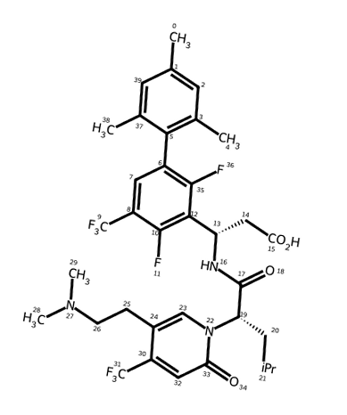 Cc1cc(C)c(-c2cc(C(F)(F)F)c(F)c([C@H](CC(=O)O)NC(=O)[C@H](CC(C)C)n3cc(CCN(C)C)c(C(F)(F)F)cc3=O)c2F)c(C)c1